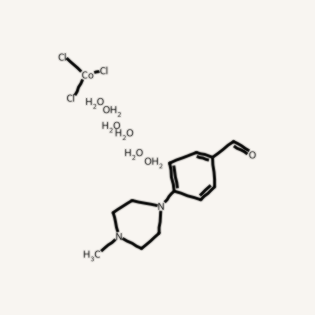 CN1CCN(c2ccc(C=O)cc2)CC1.O.O.O.O.O.O.[Cl][Co]([Cl])[Cl]